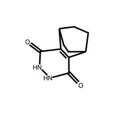 O=c1[nH][nH]c(=O)c2c1C1CCC2CC1